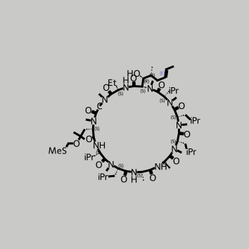 C/C=C/C[C@@H](C)[C@@H](O)[C@H]1C(=O)N[C@@H](CC)C(=O)N(C)CC(=O)N(C)[C@@H](CC(C)(C)OCSC)C(=O)N[C@@H](C(C)C)C(=O)N(C)[C@@H](CC(C)C)C(=O)N[C@@H](C)C(=O)N[C@H](C)C(=O)N(C)[C@@H](CC(C)C)C(=O)N(C)[C@@H](CC(C)C)C(=O)N(C)[C@@H](C(C)C)C(=O)N1C